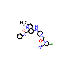 Cc1ccc2c(NC3CCN(CC(=O)N4C[C@@H](F)C[C@H]4C#N)CC3)ccc(C(=O)Nc3ccccc3)c2n1